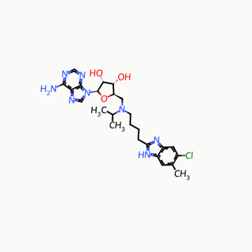 Cc1cc2[nH]c(CCCCN(C[C@H]3O[C@@H](n4cnc5c(N)ncnc54)[C@H](O)[C@@H]3O)C(C)C)nc2cc1Cl